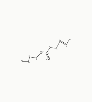 CC=CCCC(=O)OCCCC